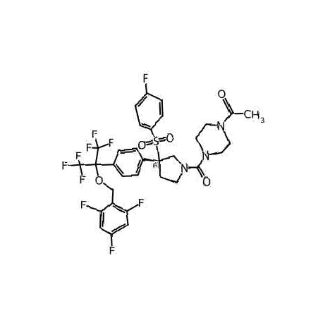 CC(=O)N1CCN(C(=O)N2CC[C@](c3ccc(C(OCc4c(F)cc(F)cc4F)(C(F)(F)F)C(F)(F)F)cc3)(S(=O)(=O)c3ccc(F)cc3)C2)CC1